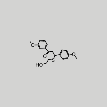 COc1ccc(C(CC(=O)c2cccc(OC)c2)SCCO)cc1